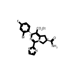 CCOC(=O)C1=C2C[C@@H](C(N)=O)CN2C(c2nccs2)=N[C@@H]1c1ccc(F)cc1Br